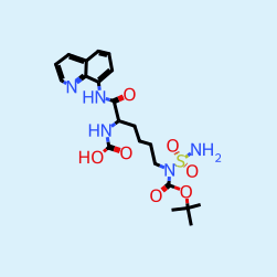 CC(C)(C)OC(=O)N(CCCCC(NC(=O)O)C(=O)Nc1cccc2cccnc12)S(N)(=O)=O